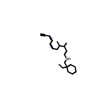 C#C/C=C\C=C/CC(C)C(C)CCNCC1(CC)CCCCC1